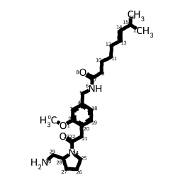 COc1cc(CNC(=O)CCCC/C=C/C(C)C)ccc1CC(=O)N1CCCC1CN